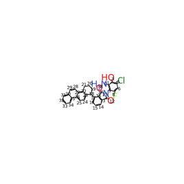 Nc1c(O)c(Cl)cc(F)c1N1C(=O)c2cccc(C3CCCc4c3ccc3c4ccc4ccccc43)c2C1=O